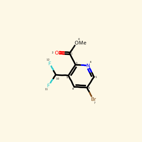 COC(=O)c1ncc(Br)cc1C(F)F